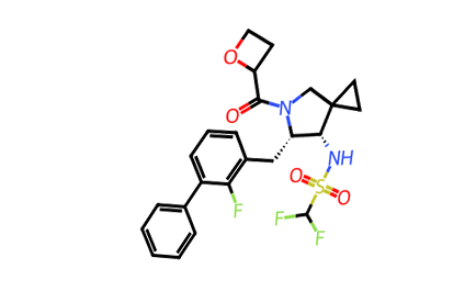 O=C(C1CCO1)N1CC2(CC2)[C@H](NS(=O)(=O)C(F)F)[C@@H]1Cc1cccc(-c2ccccc2)c1F